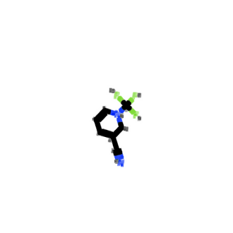 N#CC1=CC=CN(C(F)(F)F)C1